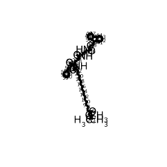 CC(C)(C)OC(=O)CCCCCCCCCCCCCCCCC(=O)NC(CCC(=O)NCCNC(=O)OCC1c2ccccc2-c2ccccc21)C(=O)OCc1ccccc1